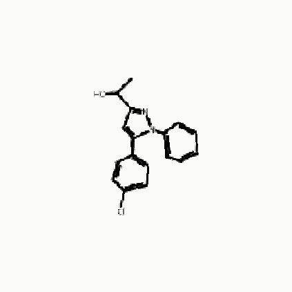 CC(O)c1cc(-c2ccc(Cl)cc2)n(-c2ccccc2)n1